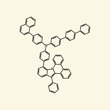 c1ccc(-c2ccc(-c3ccc(N(c4ccc(-c5cccc6ccccc56)cc4)c4ccc(-c5cccc6c(-c7ccccc7)c7c8ccccc8c8ccccc8n7c56)cc4)cc3)cc2)cc1